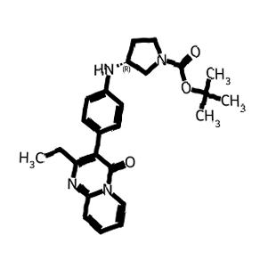 CCc1nc2ccccn2c(=O)c1-c1ccc(N[C@@H]2CCN(C(=O)OC(C)(C)C)C2)cc1